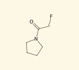 O=C([CH]F)N1CCCC1